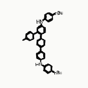 CCCCc1ccc(Nc2ccc(-c3ccc(-c4ccc(Nc5ccc(CCCC)cc5)cc4-c4ccc(C)cc4)cc3)cc2)cc1